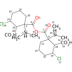 C[SiH](C)C1(C(=O)OC(=O)C2([SiH](C)C)CCCC(Cl)C2C(=O)O)CCCC(Cl)C1C(=O)O